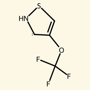 FC(F)(F)OC1=CSN[C]1